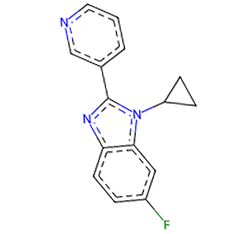 Fc1ccc2nc(-c3cccnc3)n(C3CC3)c2c1